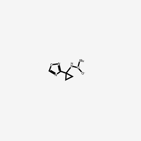 CC(C)(C)[S+]([O-])NC1(c2ncon2)CC1